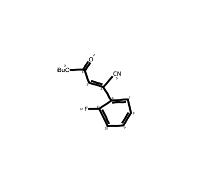 CC(C)COC(=O)C=C(C#N)c1ccccc1F